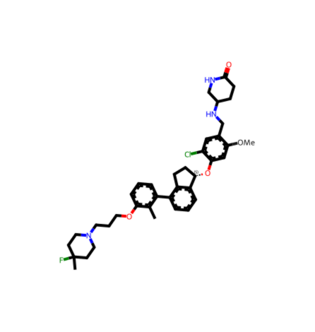 COc1cc(O[C@H]2CCc3c(-c4cccc(OCCCN5CCC(C)(F)CC5)c4C)cccc32)c(Cl)cc1CNC1CCC(=O)NC1